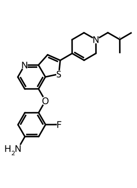 C[C](C)CN1CC=C(c2cc3nccc(Oc4ccc(N)cc4F)c3s2)CC1